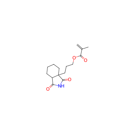 C=C(C)C(=O)OCCCC12CCCCC1C(=O)NC2=O